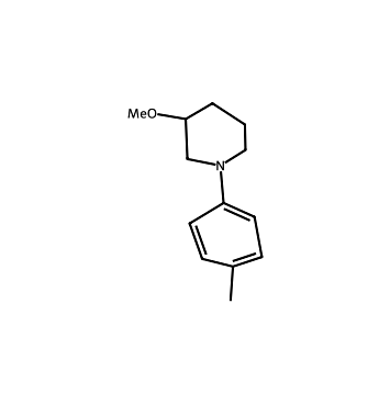 COC1CCCN(c2ccc(C)cc2)C1